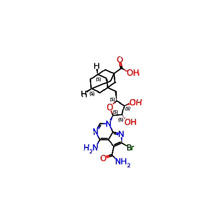 NC(=O)c1c(Br)nc2n([C@H]3O[C@@H](CC45C[C@@H]6C[C@@H](C4)CC(C(=O)O)(C6)C5)[C@@H](O)[C@@H]3O)cnc(N)c1-2